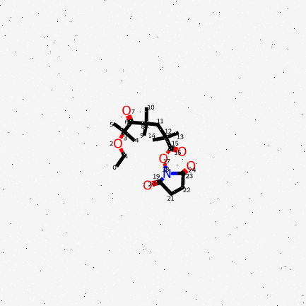 CCOC(C)(C)C(=O)C(C)(C)CC(C)(C)C(=O)ON1C(=O)CCC1=O